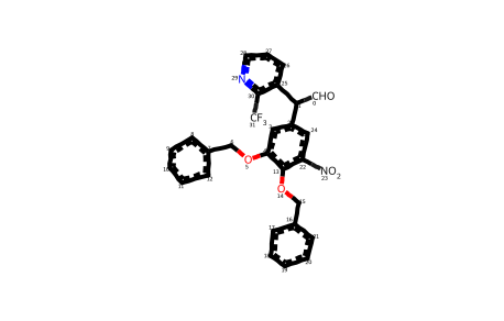 O=CC(c1cc(OCc2ccccc2)c(OCc2ccccc2)c([N+](=O)[O-])c1)c1cccnc1C(F)(F)F